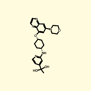 CC(O)(O)c1ccnc(N[C@H]2CC[C@@H](Oc3cc(N4CCOCC4)cc4nccnc34)CC2)c1